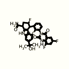 Cc1c(C2c3c([nH]c4cc(C(C)(C)O)ccc34)C(C(N)=O)CC2F)cccc1-n1c(=O)[nH]c2c(F)cc(F)cc2c1=O